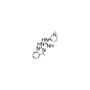 Cc1nc(NC(=N)N[C@@H]2CCCN(C)C2)nc2ccccc12